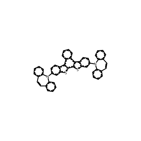 C1=Cc2ccccc2N(c2ccc3c(c2)sc2c4sc5cc(N6c7ccccc7C=Cc7ccccc76)ccc5c4c4ccccc4c32)c2ccccc21